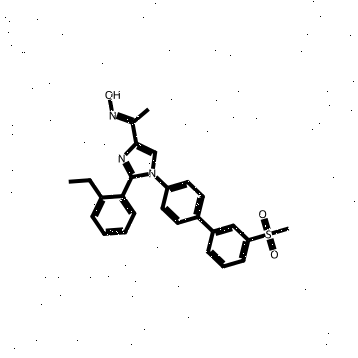 CCc1ccccc1-c1nc(C(C)=NO)cn1-c1ccc(-c2cccc(S(C)(=O)=O)c2)cc1